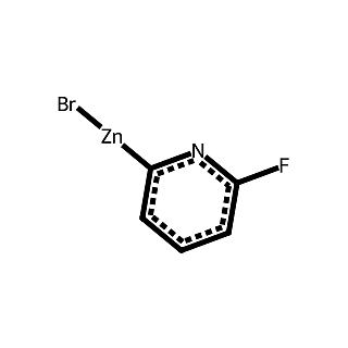 Fc1ccc[c]([Zn][Br])n1